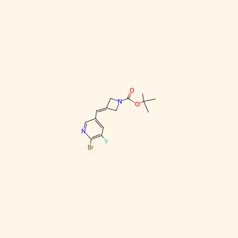 CC(C)(C)OC(=O)N1CC(=Cc2cnc(Br)c(F)c2)C1